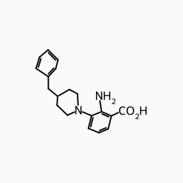 Nc1c(C(=O)O)cccc1N1CCC(Cc2ccccc2)CC1